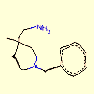 CC1(CN)CCN(Cc2ccccc2)C1